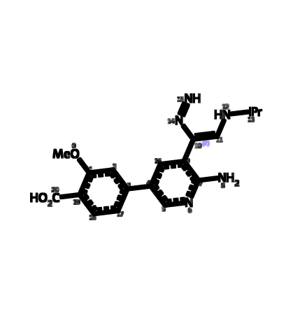 COc1cc(-c2cnc(N)c(/C(=C/NC(C)C)N=N)c2)ccc1C(=O)O